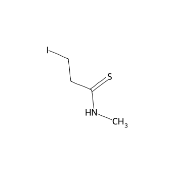 CNC(=S)CCI